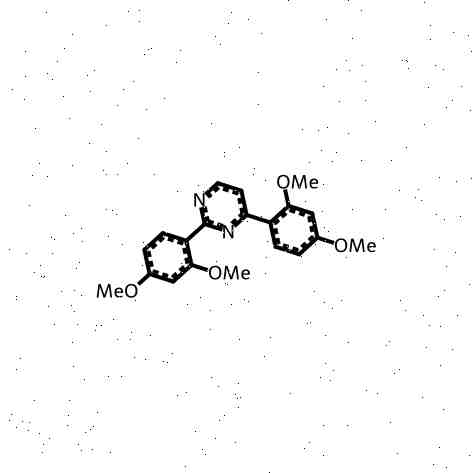 COc1ccc(-c2ccnc(-c3ccc(OC)cc3OC)n2)c(OC)c1